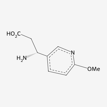 COc1ccc([C@H](N)CC(=O)O)cn1